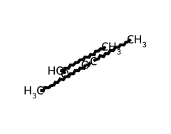 CCCCCCCCCCCCCCCCCC(=O)O.CCCCCCCCCCCCCCCCCCOCCCCCCCCCCCCCCCCCC